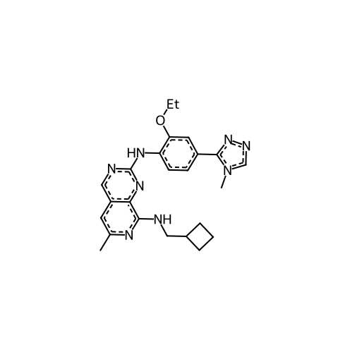 CCOc1cc(-c2nncn2C)ccc1Nc1ncc2cc(C)nc(NCC3CCC3)c2n1